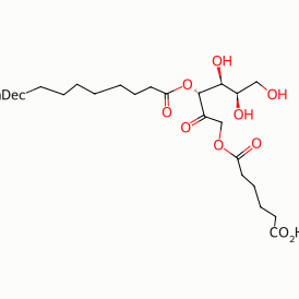 CCCCCCCCCCCCCCCCCC(=O)O[C@@H](C(=O)COC(=O)CCCCC(=O)O)[C@@H](O)[C@H](O)CO